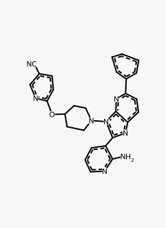 N#Cc1ccc(OC2CCN(n3c(-c4cccnc4N)nc4ccc(-c5ccccc5)nc43)CC2)nc1